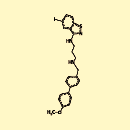 COc1ccc(-c2ccc(CNCCCNc3nsc4ccc(I)cc34)cc2)cc1